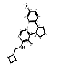 Fc1c(NCC2CCC2)ncnc1N1CCCC1c1ccc(C(F)(F)F)cc1